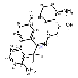 CC1(C)/C(=N/OCCO)c2cc(O[C@H]3CC[C@H](N)CC3)ccc2-c2ncnc(N)c21